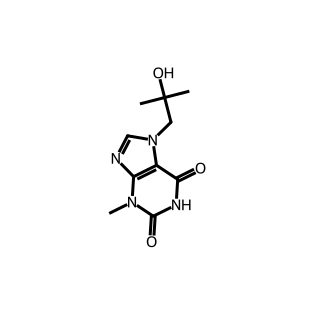 Cn1c(=O)[nH]c(=O)c2c1ncn2CC(C)(C)O